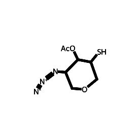 CC(=O)OC1C(S)COCC1N=[N+]=[N-]